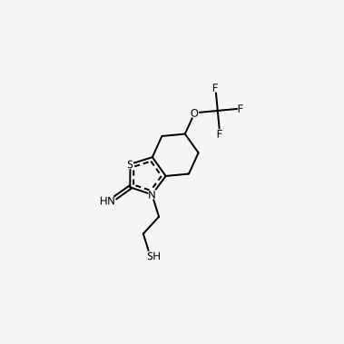 N=c1sc2c(n1CCS)CCC(OC(F)(F)F)C2